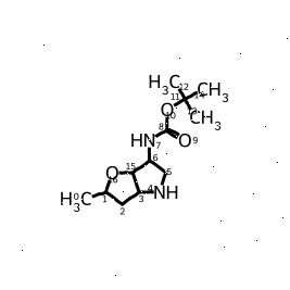 CC1CC2NCC(NC(=O)OC(C)(C)C)C2O1